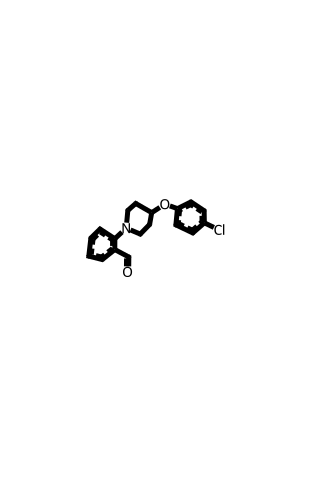 O=Cc1ccccc1N1CCC(Oc2ccc(Cl)cc2)CC1